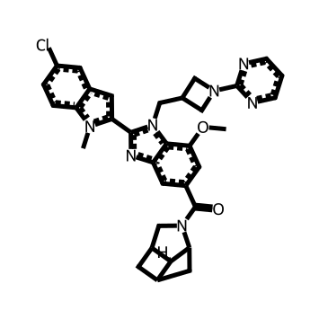 COc1cc(C(=O)N2CC3CC4CC2[C@H]43)cc2nc(-c3cc4cc(Cl)ccc4n3C)n(CC3CN(c4ncccn4)C3)c12